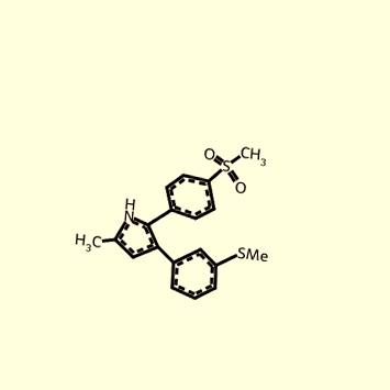 CSc1cccc(-c2cc(C)[nH]c2-c2ccc(S(C)(=O)=O)cc2)c1